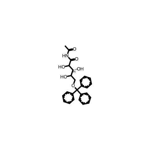 CC(=O)NC(=O)C(O)[C@H](O)C(O)COC(c1ccccc1)(c1ccccc1)c1ccccc1